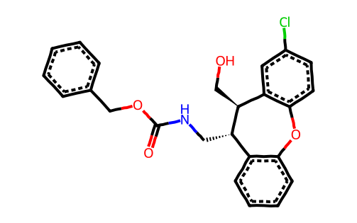 O=C(NC[C@H]1c2ccccc2Oc2ccc(Cl)cc2[C@@H]1CO)OCc1ccccc1